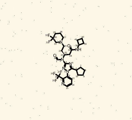 O=CN(c1nc(C2CCCC2)n(-c2cccnc2C(F)(F)F)n1)[C@@H](CCN1CCCC(F)(F)C1)CC(=O)NC1CCC1